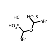 CCCC(OC(CCC)S(=O)(=O)O)S(=O)(=O)O.Cl